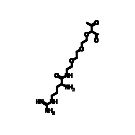 CC(=O)C([C]=O)OCCOCCOCCNC(=O)[C@@H](N)CCCNC(=N)N